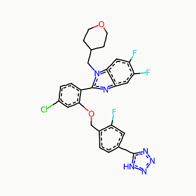 Fc1cc2nc(-c3ccc(Cl)cc3OCc3ccc(-c4nnn[nH]4)cc3F)n(CC3CCOCC3)c2cc1F